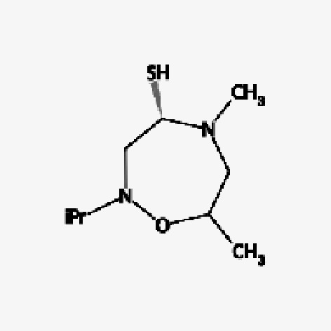 CC1CN(C)[C@@H](S)CN(C(C)C)O1